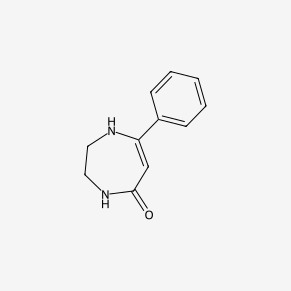 O=C1C=C(c2ccccc2)NCCN1